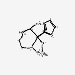 CCCCOC1(c2cccs2)C(C)NCCN1C